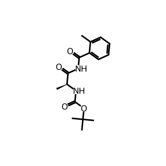 Cc1ccccc1C(=O)NC(=O)[C@H](C)NC(=O)OC(C)(C)C